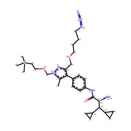 Cc1c(-c2ccc(NC(=O)[C@@H](N)C(C3CC3)C3CC3)cc2)c(COCCCCN=[N+]=[N-])nn1COCC[Si](C)(C)C